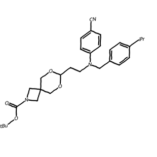 CC(C)c1ccc(CN(CCC2OCC3(CO2)CN(C(=O)OC(C)(C)C)C3)c2ccc(C#N)cc2)cc1